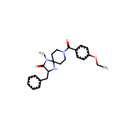 CCOc1ccc(C(=O)N2CCC3(CC2)NC(Cc2ccccc2)C(=O)N3C)cc1